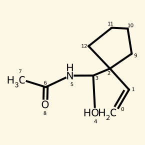 C=CC1(C(O)NC(C)=O)CCCC1